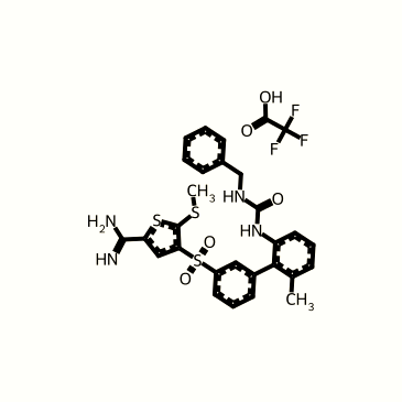 CSc1sc(C(=N)N)cc1S(=O)(=O)c1cccc(-c2c(C)cccc2NC(=O)NCc2ccccc2)c1.O=C(O)C(F)(F)F